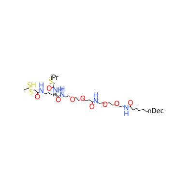 CCCCCCCCCCCCCCCC(=O)NCCOCCOCCNC(=O)CCOCCOCCNC(=O)[C@H](CCCNC(=O)CSC(C)S)NC(=O)CSC(C)C